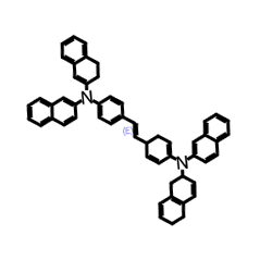 C1=CC2=C(C=CC(N(C3=CCC(/C=C/c4ccc(N(C5=Cc6ccccc6CC5)c5ccc6ccccc6c5)cc4)C=C3)c3ccc4ccccc4c3)C2)CC1